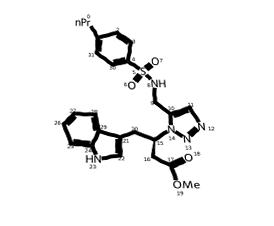 CCCc1ccc(S(=O)(=O)NCc2cnnn2[C@@H](CC(=O)OC)Cc2c[nH]c3ccccc23)cc1